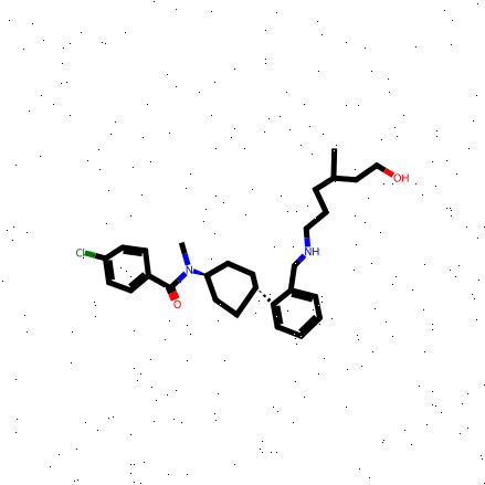 CC(CCO)CCCNCc1ccccc1[C@H]1CC[C@H](N(C)C(=O)c2ccc(Cl)cc2)CC1